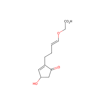 O=C(O)COC=CCCC1=CC(O)CC1=O